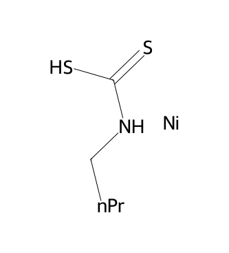 CCCCNC(=S)S.[Ni]